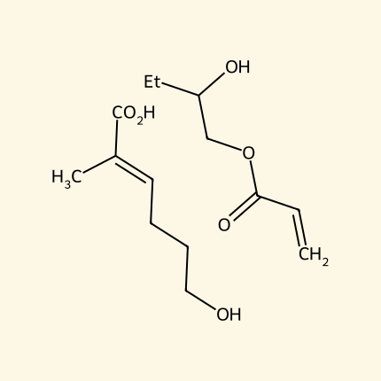 C=CC(=O)OCC(O)CC.CC(=CCCCO)C(=O)O